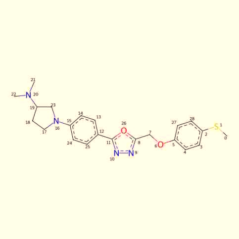 CSc1ccc(OCc2nnc(-c3ccc(N4CCC(N(C)C)C4)cc3)o2)cc1